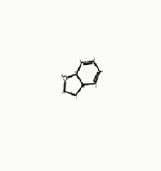 [C]1CC2C=CC=CC2O1